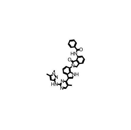 Cc1cnc(Nc2cc(C)n(C)n2)nc1-c1c[nH]c2c(N3Cc4cccc(NC(=O)c5ccccc5)c4C3=O)cccc12